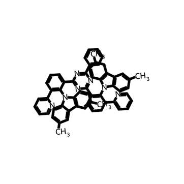 Cc1ccc2c(c1)c1c(n2C2=C(c3nc(-c4ccccc4)nc(-c4cccc(-c5ccccn5)c4-n4c5ccc(C)cc5c5cc(C)ccc54)n3)C=CCC2c2ccccn2)C=CC(C)C1